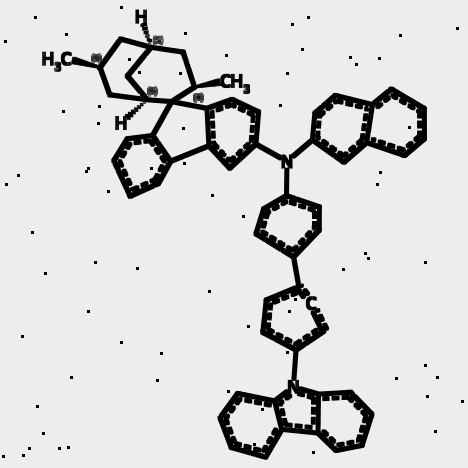 C[C@H]1C[C@@H]2C[C@H](C1)C1(c3ccccc3-c3cc(N(c4ccc(-c5ccc(-n6c7ccccc7c7ccccc76)cc5)cc4)c4ccc5ccccc5c4)ccc31)[C@H](C)C2